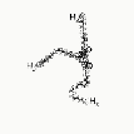 CCCCC/C=C\C/C=C\C/C=C\C/C=C\CCCCCC(=O)OC[C@@H](COC(=O)CCCCCCCCCCCCC)OC(=O)CCCCCCC/C=C\CCCCCCCC